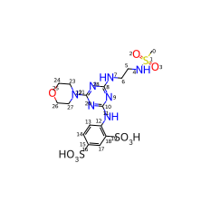 CS(=O)(=O)NCCNc1nc(Nc2ccc(S(=O)(=O)O)cc2S(=O)(=O)O)nc(N2CCOCC2)n1